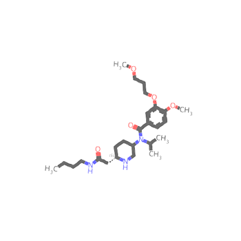 CCCCNC(=O)C[C@@H]1CCC(N(C(=O)c2ccc(OC)c(OCCCOC)c2)C(C)C)CN1